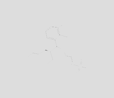 CCCC[C@H](CC)C(OCCOS(C)(=O)=O)c1cccc(F)c1F